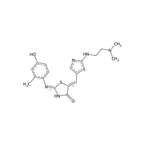 Cc1cc(O)ccc1/N=C1/NC(=O)/C(=C/c2cnc(NCCN(C)C)s2)S1